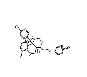 O=c1ccc(SCC[C@@H]2OCC[C@@]3(S(=O)(=O)c4ccc(Cl)cc4)c4c(F)ccc(F)c4OC[C@@H]23)c[nH]1